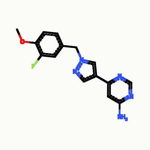 COc1ccc(Cn2cc(-c3cc(N)ncn3)cn2)cc1F